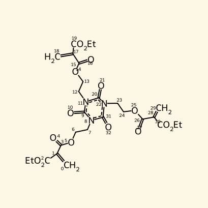 C=C(C(=O)OCC)C(=O)OCCn1c(=O)n(CCOC(=O)C(=C)C(=O)OCC)c(=O)n(CCOC(=O)C(=C)C(=O)OCC)c1=O